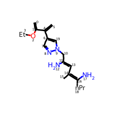 C=C(OCC)C(=C)c1cnn(C/C(N)=C/C(C)=C(\N)CCC)c1